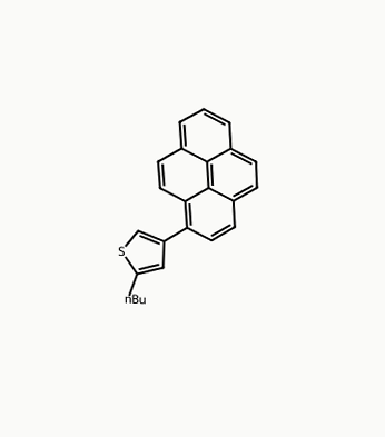 CCCCc1cc(-c2ccc3ccc4cccc5ccc2c3c45)cs1